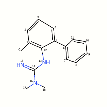 Cc1cccc(-c2ccccc2)c1NC(=N)N(C)C